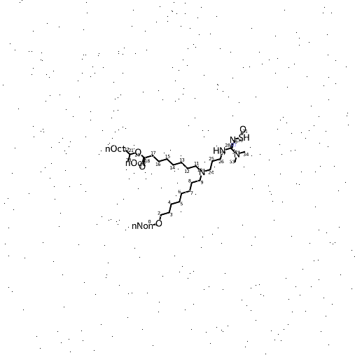 CCCCCCCCCOCCCCCCCCN(CCCCCCCC(=O)OC(CCCCCCCC)CCCCCCCC)CCCN/C(=N/[SH]=O)N(C)C